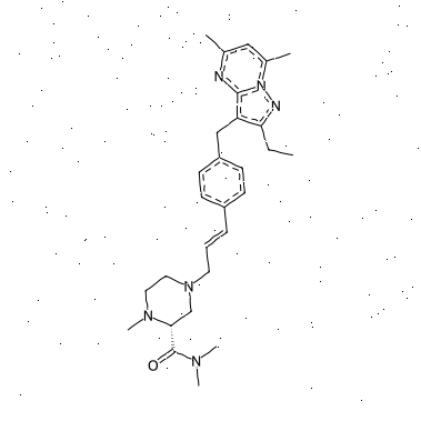 CCc1nn2c(C)cc(C)nc2c1Cc1ccc(/C=C/CN2CCN(C)[C@@H](C(=O)N(C)C)C2)cc1